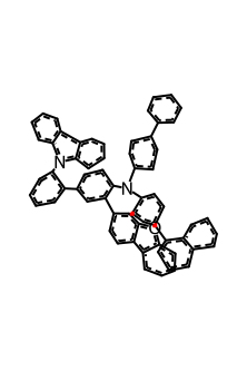 c1ccc(-c2ccc(N(c3ccc(-c4cccc5ccccc45)cc3)c3ccc(-c4ccccc4-n4c5ccccc5c5ccccc54)cc3-c3ccc4c(c3)oc3ccccc34)cc2)cc1